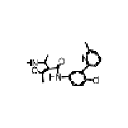 CC1=C(C(=O)Nc2ccc(Cl)c(-c3cccc(C)n3)c2)C(C)NO1